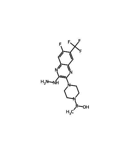 CB(O)N1CCN(c2nc3cc(C(F)(F)F)c(F)cc3nc2NN)CC1